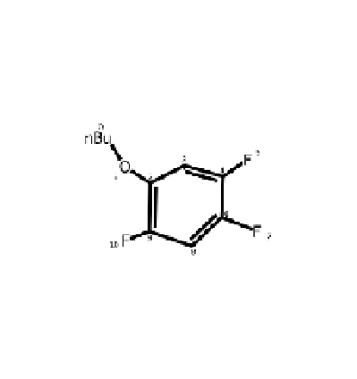 CCCCOc1[c]c(F)c(F)cc1F